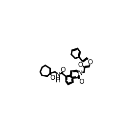 O=C(NCC1(O)CCCCCC1)c1cccc2c(=O)n(CC3=COC=C(C4=CC=CCC4)O3)ccc12